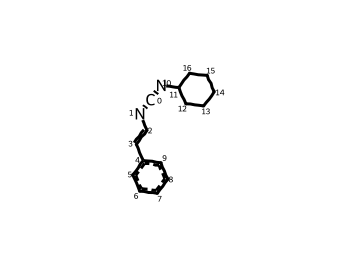 C(=NC=Cc1ccccc1)=NC1CCCCC1